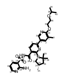 Cc1cc(-c2ccc(C(=O)NS(=O)(=O)c3cccnc3N)c(N3C[C@@H](C)CC3(C)C)n2)cnc1OCCOC(C)C